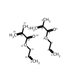 C=CCOC(=O)C(=C)C.C=CCOC(=O)C(=C)C